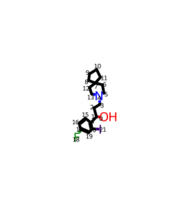 OC(CCN1CCC2(CCCC2)CC1)c1ccc(F)cc1I